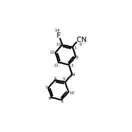 N#Cc1cc(Cc2ccccc2)ccc1F